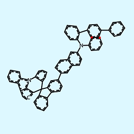 c1ccc(-c2ccc(-c3ccccc3N(c3ccccc3)c3ccc4cc(-c5ccc6c(c5)C5(c7ccccc7-6)c6ccccc6-n6c7ccccc7c7cccc5c76)ccc4c3)cc2)cc1